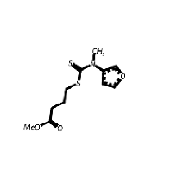 COC(=O)CCCSC(=S)N(C)c1ccoc1